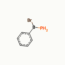 PB(Br)c1ccccc1